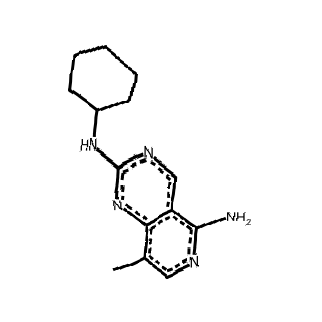 Cc1cnc(N)c2cnc(NC3CCCCC3)nc12